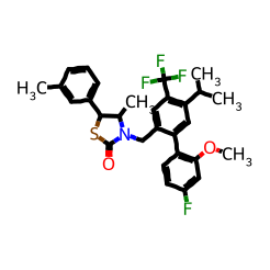 COc1cc(F)ccc1-c1cc(C(C)C)c(C(F)(F)F)cc1CN1C(=O)SC(c2cccc(C)c2)C1C